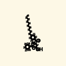 CCCCCCCCCCc1ccc(C(=O)N(CC(=O)O)OCc2ccccc2)cc1